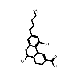 CCCCCc1cc(O)c2c(c1)OC(C)C1CCC(C(=O)O)=CC21